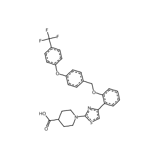 O=C(O)C1CCN(c2nc(-c3ccccc3OCc3ccc(Oc4ccc(C(F)(F)F)cc4)cc3)cs2)CC1